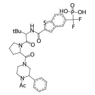 CC(=O)N1CCN(C(=O)C2CCCN2C(=O)C(NC(=O)c2cc3cc(C(F)(F)P(=O)(O)O)ccc3s2)C(C)(C)C)CC1c1ccccc1